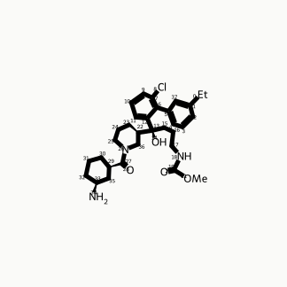 CCc1cccc(-c2c(Cl)cccc2[C@](O)(CCCNC(=O)OC)[C@@H]2CCCN(C(=O)[C@@H]3CCC[C@H](N)C3)C2)c1